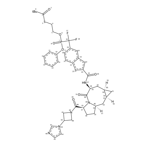 CC(C)(C)C(=O)SCCOP(=O)(Oc1ccccc1)C(F)(F)c1ccc2sc(C(=O)N[C@H]3C[C@H]4C[C@H]4C[C@H]4CC[C@@H](C(=O)N5CC(n6ccnc6)C5)N4C3=O)cc2c1